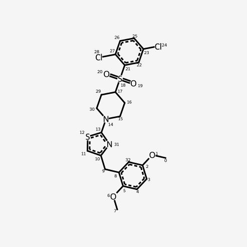 COc1ccc(OC)c(Cc2csc(N3CCC(S(=O)(=O)c4cc(Cl)ccc4Cl)CC3)n2)c1